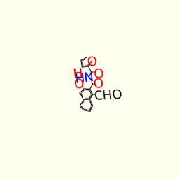 O=Cc1c(C(=O)NC(=O)c2ccco2)c(O)cc2ccccc12